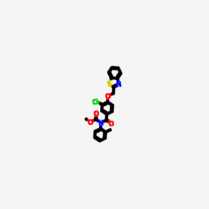 COC(=O)N(C(=O)c1ccc(OCc2nc3ccccc3s2)c(Cl)c1)c1ccccc1C